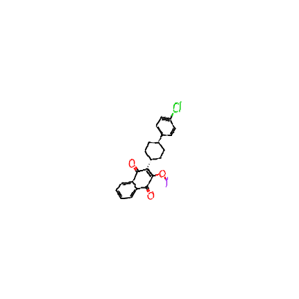 O=C1C(OI)=C([C@H]2CC[C@H](c3ccc(Cl)cc3)CC2)C(=O)c2ccccc21